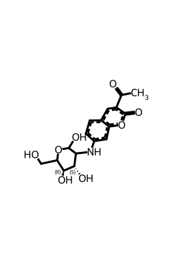 CC(=O)c1cc2ccc(NC3C(O)OC(CO)[C@H](O)[C@H]3O)cc2oc1=O